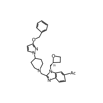 CC(=O)c1ccc2nc(CN3CCC(n4ccc(OCc5ccccc5)n4)CC3)n(C[C@@H]3CCO3)c2c1